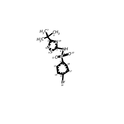 CC(C)(C)c1nsc(NS(=O)(=O)c2ccc(Br)cc2)n1